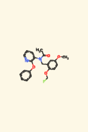 COc1ccc(OCF)c(CN(C(C)=O)c2cccnc2Oc2ccccc2)c1